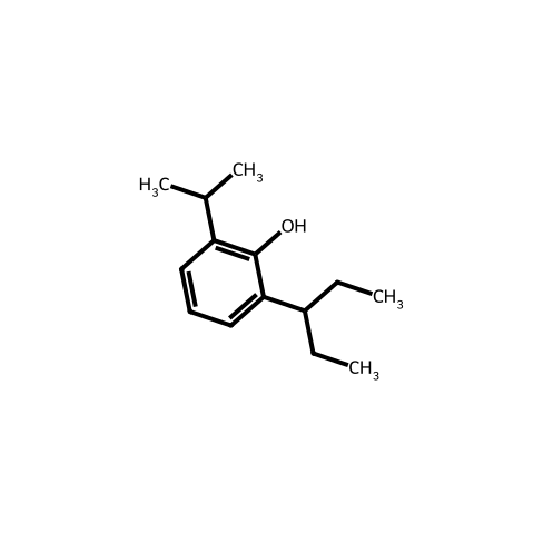 CCC(CC)c1cccc(C(C)C)c1O